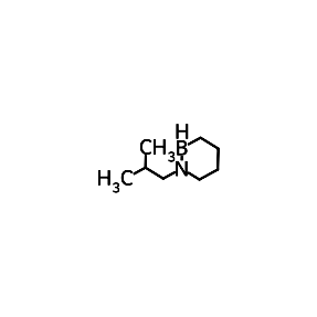 CC(C)CN1BCCCC1